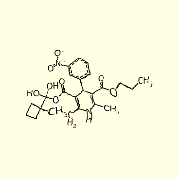 CCCOC(=O)C1=C(C)NC(C)=C(C(=O)OC(O)(O)C2(C)CCC2)C1c1cccc([N+](=O)[O-])c1